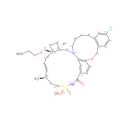 COCCO[C@H]1/C=C/[C@H](C)C[C@@H](C)S(=O)(=O)NC(=O)c2ccc3c(c2)N(CCCCc2cc(Cl)ccc2CO3)C[C@@H]2CC[C@H]21